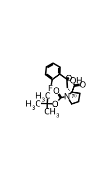 CC(C)(C)OC(=O)N1CCC[C@]1(CC(=O)c1ccccc1F)C(=O)O